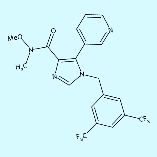 CON(C)C(=O)c1ncn(Cc2cc(C(F)(F)F)cc(C(F)(F)F)c2)c1-c1cccnc1